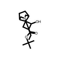 CCC1CC2(C3CCC2CN(C(=O)OC(C)(C)C)C3)C1O